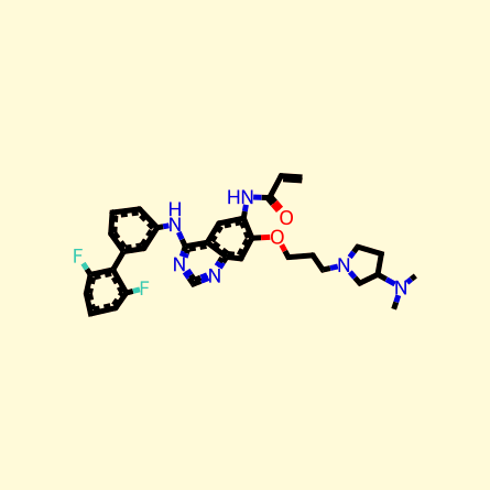 C=CC(=O)Nc1cc2c(Nc3cccc(-c4c(F)cccc4F)c3)ncnc2cc1OCCCN1CCC(N(C)C)C1